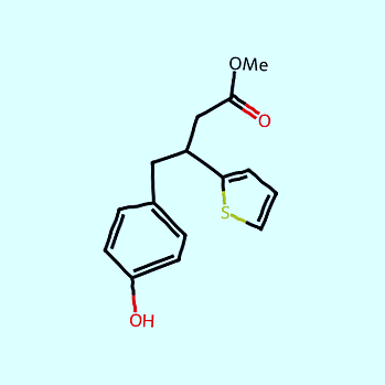 COC(=O)CC(Cc1ccc(O)cc1)c1cccs1